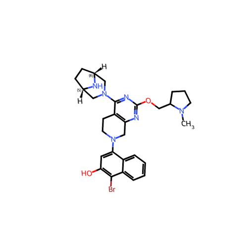 CN1CCCC1COc1nc2c(c(N3C[C@H]4CC[C@@H](C3)N4)n1)CCN(c1cc(O)c(Br)c3ccccc13)C2